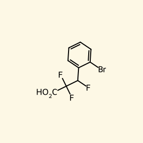 O=C(O)C(F)(F)C(F)c1ccccc1Br